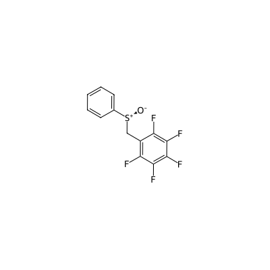 [O-][S@@+](Cc1c(F)c(F)c(F)c(F)c1F)c1ccccc1